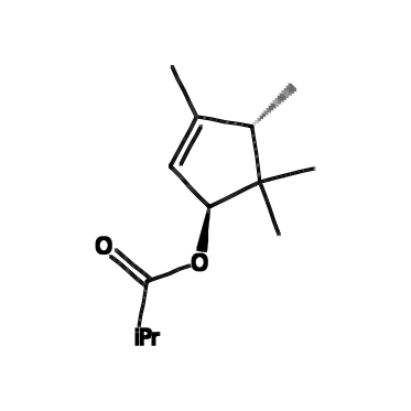 CC1=C[C@H](OC(=O)C(C)C)C(C)(C)[C@H]1C